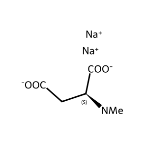 CN[C@@H](CC(=O)[O-])C(=O)[O-].[Na+].[Na+]